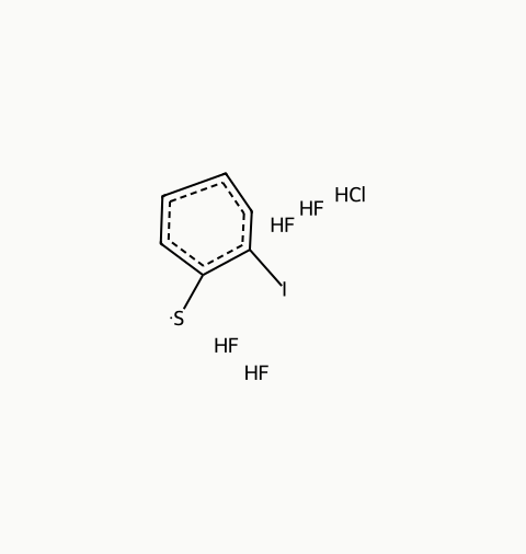 Cl.F.F.F.F.[S]c1ccccc1I